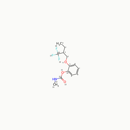 CCC(COc1ccccc1OC(=O)NC)C(F)(F)F